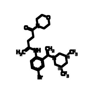 C=C(CCC(=O)N1CCOCC1)Nc1ccc(Br)cc1C(=C)N1C[C@H](C(F)(F)F)C[C@H](C(F)(F)F)C1